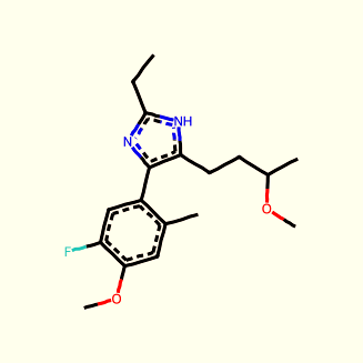 CCc1nc(-c2cc(F)c(OC)cc2C)c(CCC(C)OC)[nH]1